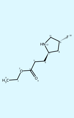 CCOC(=O)CC[C@@H]1C[C@@H](F)CN1